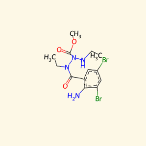 CCNN(C(=O)OC)N(CC)C(=O)c1cc(Br)cc(Br)c1N